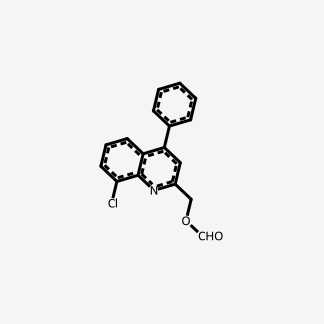 O=COCc1cc(-c2ccccc2)c2cccc(Cl)c2n1